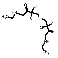 CCNCC(=O)C(Cl)(Cl)COCC(Cl)(Cl)C(=O)CNCC